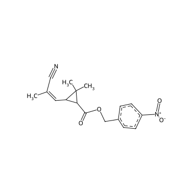 CC(C#N)=CC1C(C(=O)OCc2ccc([N+](=O)[O-])cc2)C1(C)C